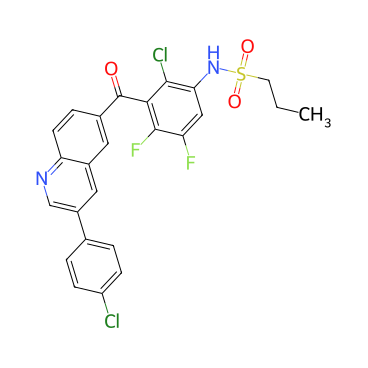 CCCS(=O)(=O)Nc1cc(F)c(F)c(C(=O)c2ccc3ncc(-c4ccc(Cl)cc4)cc3c2)c1Cl